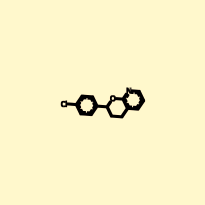 Clc1ccc(C2CCc3cccnc3O2)cc1